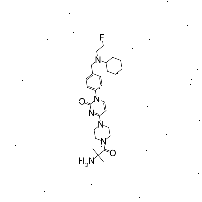 CC(C)(N)C(=O)N1CCN(c2ccn(-c3ccc(CN(CCF)C4CCCCC4)cc3)c(=O)n2)CC1